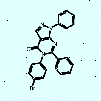 O=c1c2cnn(-c3ccccc3)c2nc(-c2ccccc2)n1-c1ccc(Br)cc1